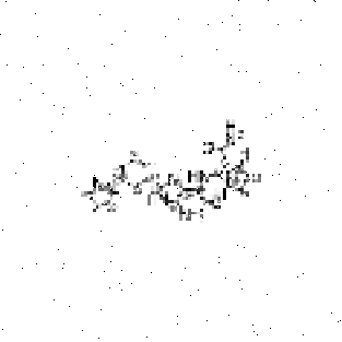 NC(=O)[C@@H]1[C@H](Nc2c(Cl)cnc3[nH]c(-c4cccc(-n5cccn5)c4)nc23)[C@H]2C=C[C@@H]1C2